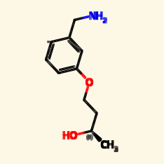 C[C@@H](O)CCOc1cc[c]c(CN)c1